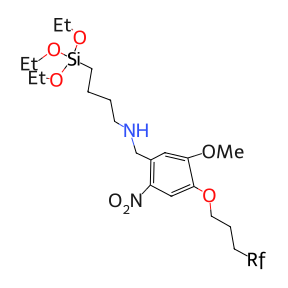 CCO[Si](CCCCNCc1cc(OC)c(OCC[CH2][Rf])cc1[N+](=O)[O-])(OCC)OCC